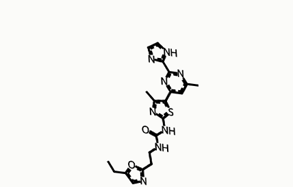 CCc1cnc(CCNC(=O)Nc2nc(C)c(-c3cc(C)nc(-c4ncc[nH]4)n3)s2)o1